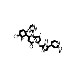 COc1cc(-c2cnc(C[C@H]3C[C@@H](C)c4nc(-c5c(-n6cnnn6)ccc(Cl)c5F)cc(=O)n43)[nH]2)ccn1